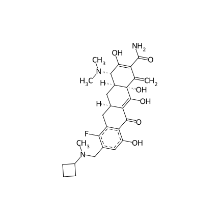 C=C1C(C(N)=O)=C(O)[C@@H](N(C)C)[C@@H]2C[C@@H]3Cc4c(F)c(CN(C)C5CCC5)cc(O)c4C(=O)C3=C(O)[C@]12O